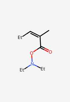 CCC=C(C)C(=O)ON(CC)CC